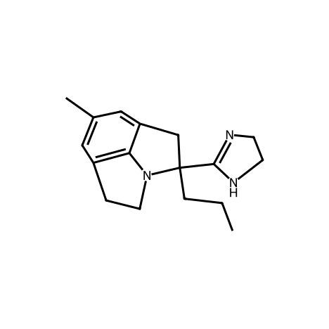 CCCC1(C2=NCCN2)Cc2cc(C)cc3c2N1CC3